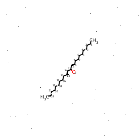 CCCCCCCCCC=CC(=O)C=CCCCCCCCCC